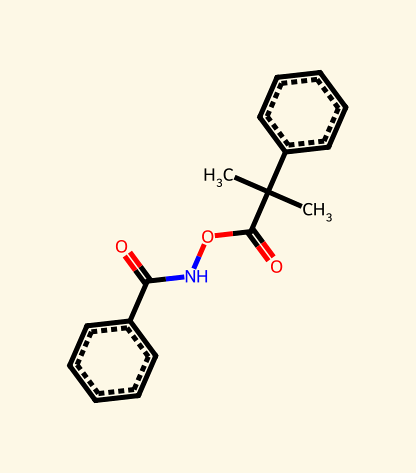 CC(C)(C(=O)ONC(=O)c1ccccc1)c1ccccc1